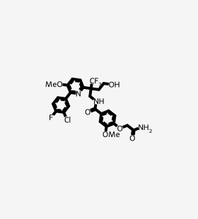 COc1cc(C(=O)NCC(CCO)(c2ccc(OC)c(-c3ccc(F)c(Cl)c3)n2)C(F)(F)F)ccc1OCC(N)=O